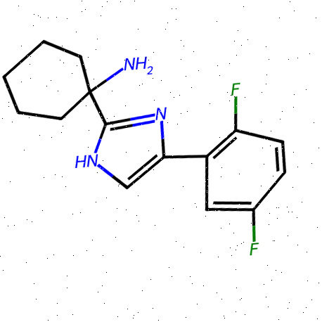 NC1(c2nc(-c3cc(F)ccc3F)c[nH]2)CCCCC1